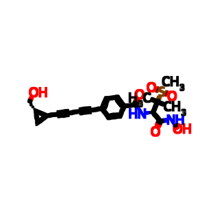 CC(C)([C@H](NC(=O)c1ccc(C#CC#CC2C[C@@H]2CO)cc1)C(=O)NO)S(C)(=O)=O